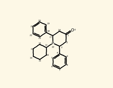 O=C1CC(c2ccccc2)P(C2CCCCC2)C(c2ccccc2)C1